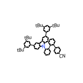 CC(C)(C)c1cc(-c2ccc3c(c2)c2cc(-c4cc(C(C)(C)C)cc(C(C)(C)C)c4)ccc2n3-c2ccccc2-c2ccccc2-c2ccc(C#N)cc2)cc(C(C)(C)C)c1